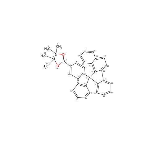 CC1(C)OB(c2ccc(C3(c4ccccc4)c4ccccc4-c4ccc5ccccc5c43)cc2)OC1(C)C